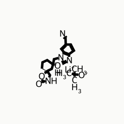 CC(C)(C)[O-].N#Cc1ccc2ncn(C[C@@]3(O)CCC[C@@]4(CNC(=O)O4)C3)c2c1.[Li+]